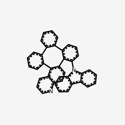 c1ccc2c(c1)-c1ccccc1-c1c(ccc3ncccc13)-c1c-2cccc1-n1c2ccccc2c2ccccc21